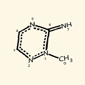 Cn1nccnc1=N